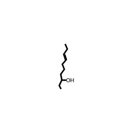 CCC=CCCCC(O)CC